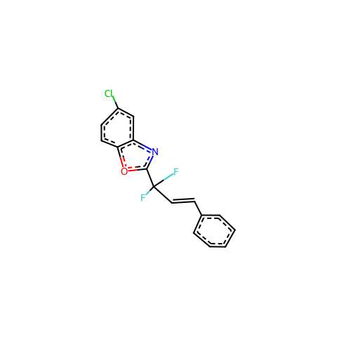 FC(F)(/C=C/c1ccccc1)c1nc2cc(Cl)ccc2o1